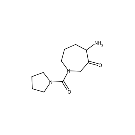 NC1CCCN(C(=O)N2CCCC2)CC1=O